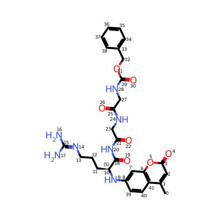 Cc1cc(=O)oc2cc(N[C@@H](CCCN=C(N)N)C(=O)NC(=O)CNC(=O)CNC(=O)OCc3ccccc3)ccc12